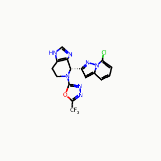 FC(F)(F)c1nnc(N2CCc3[nH]cnc3[C@@H]2c2cc3cccc(Cl)n3n2)o1